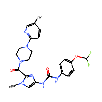 CCCCn1cc(NC(=O)Nc2ccc(OC(F)F)cc2)nc1C(=O)N1CCN(c2ccc(C#N)cn2)CC1